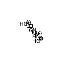 Cc1c(Oc2cnc(C(=O)N[C@H]3CCC[C@@H]3O)cn2)ccc2c1B(O)OC2